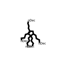 CCCCCCCCCCCCCC1=C(CCCCCCCCCCCCC)C(CCCCCCCCCCCCC)(CCCCCCCCCCCCC)C(CCCCCCCCCCCCC)C1